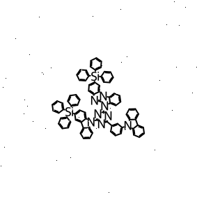 c1ccc([Si](c2ccccc2)(c2ccccc2)c2ccc3c(c2)c2ccccc2n3-c2nc(-c3cccc(-n4c5ccccc5c5ccccc54)c3)nc(-n3c4ccccc4n4c5cc([Si](c6ccccc6)(c6ccccc6)c6ccccc6)ccc5nc34)n2)cc1